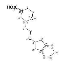 O=C(O)N1CCN[C@H](CCOC2Cc3ccccc3C2)C1